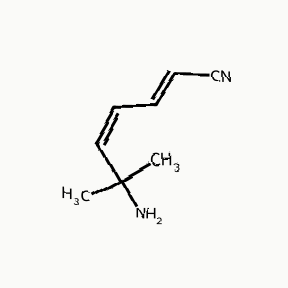 CC(C)(N)/C=C\C=C\C#N